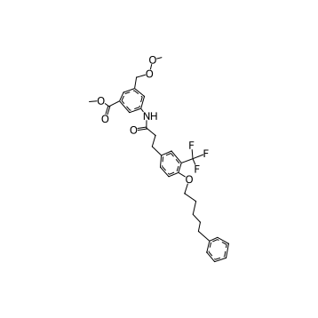 COOCc1cc(NC(=O)CCc2ccc(OCCCCCc3ccccc3)c(C(F)(F)F)c2)cc(C(=O)OC)c1